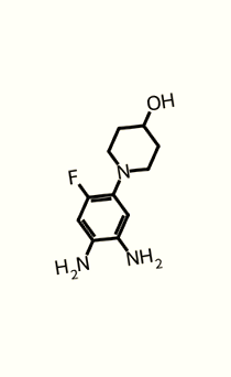 Nc1cc(F)c(N2CCC(O)CC2)cc1N